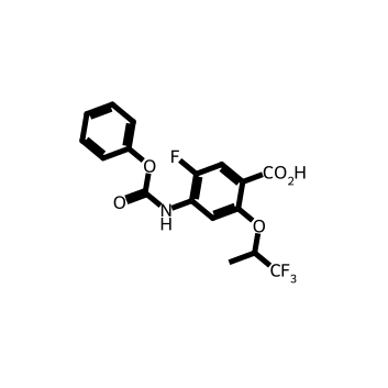 CC(Oc1cc(NC(=O)Oc2ccccc2)c(F)cc1C(=O)O)C(F)(F)F